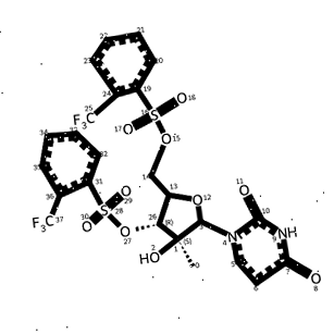 C[C@@]1(O)C(n2ccc(=O)[nH]c2=O)OC(COS(=O)(=O)c2ccccc2C(F)(F)F)[C@H]1OS(=O)(=O)c1ccccc1C(F)(F)F